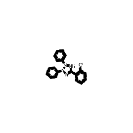 Clc1ccccc1C1=NN(c2ccccc2)N(c2ccccc2)N1